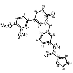 COc1ccc(C2=NN(Cc3cccc(NC(=O)c4cnco4)c3)C(=O)SC2)cc1OC